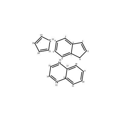 C1=Cc2ccccc2C1.c1ccc2nccnc2c1.c1ccsc1